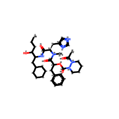 CC(C)CCC(O)C(CC1CCCCC1)NC(=O)[C@H](Cc1c[nH]cn1)N(C)C(=O)C(Cc1ccccc1)OC(=O)N1CCCCN1C(=O)C(C)C